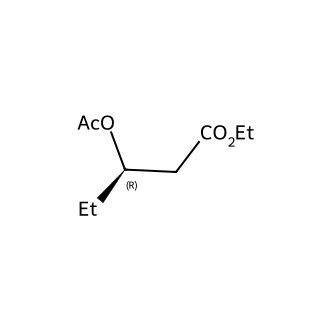 CCOC(=O)C[C@@H](CC)OC(C)=O